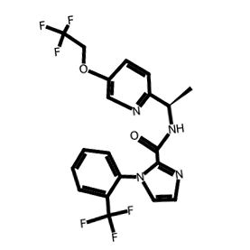 C[C@@H](NC(=O)c1nccn1-c1ccccc1C(F)(F)F)c1ccc(OCC(F)(F)F)cn1